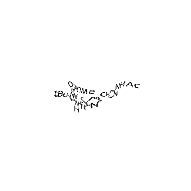 CO[C@H]1COC[C@@H]1n1nc(Nc2nc3ncc(Oc4ccnc(NC(C)=O)c4)cc3s2)cc1C(C)(C)C